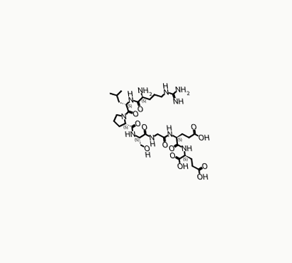 CC(C)C[C@H](NC(=O)[C@@H](N)CCCNC(=N)N)C(=O)N1CCC[C@H]1C(=O)N[C@@H](CO)C(=O)NCC(=O)N[C@@H](CCC(=O)O)C(=O)N[C@@H](CCC(=O)O)C(=O)O